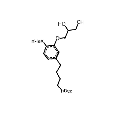 CCCCCCCCCCCCCCc1ccc(CCCCCC)c(OCC(O)CO)c1